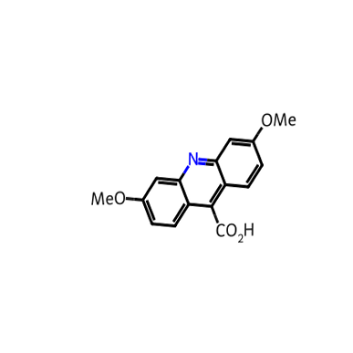 COc1ccc2c(C(=O)O)c3ccc(OC)cc3nc2c1